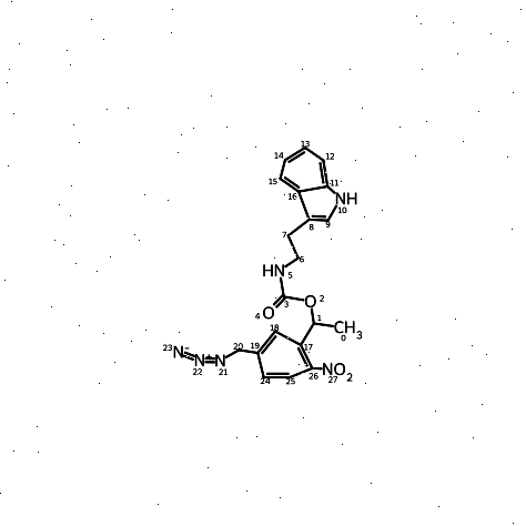 CC(OC(=O)NCCc1c[nH]c2ccccc12)c1cc(CN=[N+]=[N-])ccc1[N+](=O)[O-]